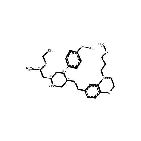 CCS[C@H](C)C[C@H]1C[C@H](c2ccc(OC)cc2)[C@@H](OCc2ccc3c(c2)N(CCCOC)CCO3)CN1